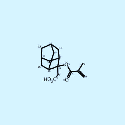 C=C(C)C(=O)OC1(CC(=O)O)C2CC3CC(C2)CC1C3